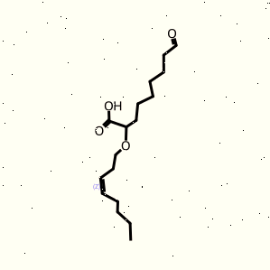 CCCC/C=C\CCOC(CCCCCCC=O)C(=O)O